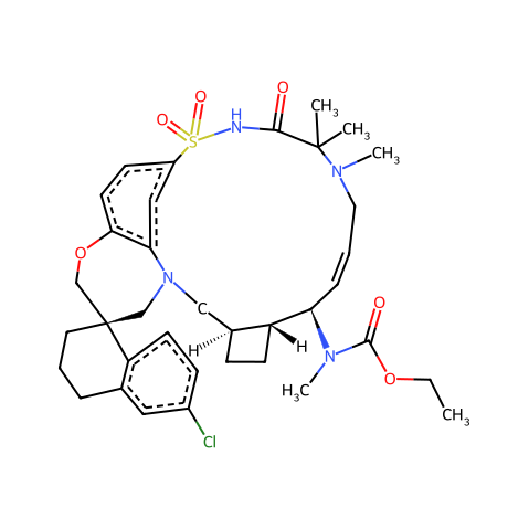 CCOC(=O)N(C)[C@@H]1C=CCN(C)C(C)(C)C(=O)NS(=O)(=O)c2ccc3c(c2)N(C[C@@H]2CC[C@H]21)C[C@@]1(CCCc2cc(Cl)ccc21)CO3